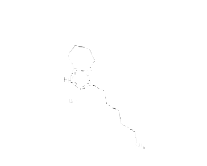 CCCCCCc1c[nH]c2[n+]1CCCC2.[Br-]